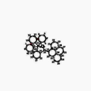 c1ccc(P2(c3ccccc3)(c3ccccc3)O[C@@H](c3cc4cccc5ccc6cccc3c6c54)c3ccccc32)cc1